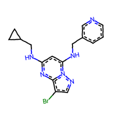 Brc1cnn2c(NCc3cccnc3)cc(NCC3CC3)nc12